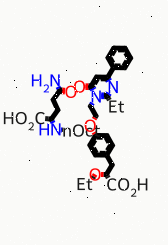 CCCCCCCCNC(CCC(N)=O)C(=O)O.CCOC(Cc1ccc(OCCn2c(CC)nc(-c3ccccc3)cc2=O)cc1)C(=O)O